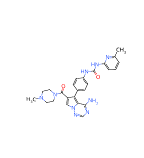 Cc1cccc(NC(=O)Nc2ccc(-c3c(C(=O)N4CCN(C)CC4)cn4ncnc(N)c34)cc2)n1